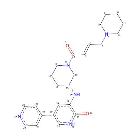 O=C(/C=C/CN1CCCCC1)N1CCC[C@@H](Nc2cc(-c3ccncc3)c[nH]c2=O)C1